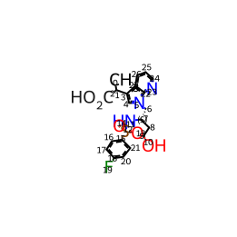 CC(C(=O)O)c1cn(C[C@H](CCO)NS(=O)(=O)c2ccc(F)cc2)c2ncccc12